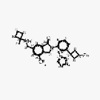 Cn1cnnc1[C@]1(c2cccc(N3Cc4c(cc(CNC5(C)CCC5)cc4C(F)(F)F)C3=O)c2)C[C@@H](F)C1